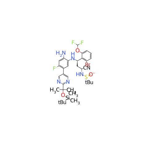 CC(C)(O[Si](C)(C)C(C)(C)C)c1ncc(-c2cc(N[C@H](CC(C#N)N[S+]([O-])C(C)(C)C)c3c(Br)cccc3OC(F)F)c(N)cc2F)cn1